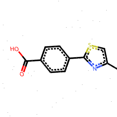 Cc1csc(-c2ccc(C(=O)O)cc2)n1